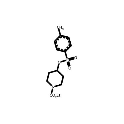 CCOC(=O)N1CCC(OS(=O)(=O)c2ccc(C)cc2)CC1